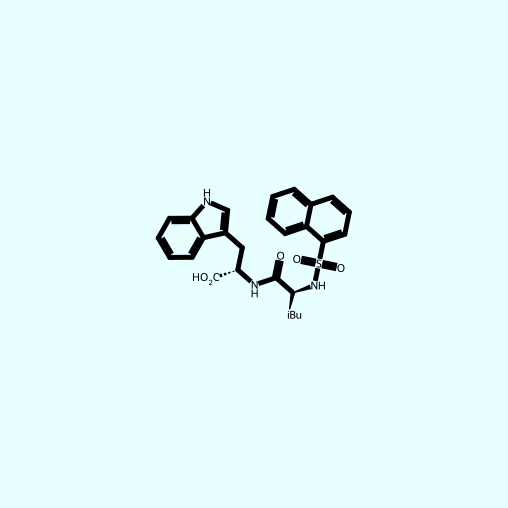 CC[C@H](C)[C@H](NS(=O)(=O)c1cccc2ccccc12)C(=O)N[C@@H](Cc1c[nH]c2ccccc12)C(=O)O